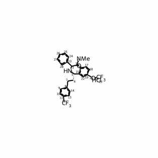 CNC(=O)C(N[C@@H](CCc1ccc(C(F)(F)F)cc1)c1cccc(OC(F)(F)F)c1)c1ccccc1.Cl